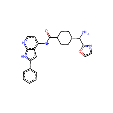 NC(c1ncco1)C1CCC(C(=O)Nc2ccnc3[nH]c(-c4ccccc4)cc23)CC1